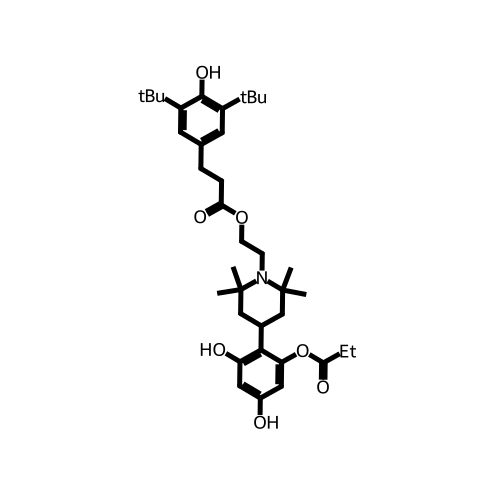 CCC(=O)Oc1cc(O)cc(O)c1C1CC(C)(C)N(CCOC(=O)CCc2cc(C(C)(C)C)c(O)c(C(C)(C)C)c2)C(C)(C)C1